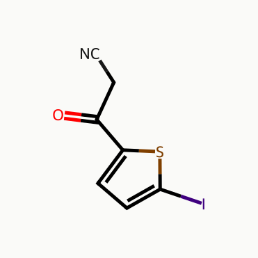 N#CCC(=O)c1ccc(I)s1